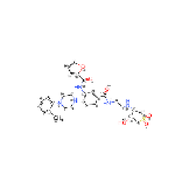 Cc1ccccc1N1CCN(c2ccc(C(=O)NCCNC3CS(=O)(=O)C[C@@H]3O)cc2NC(=O)c2ccco2)CC1